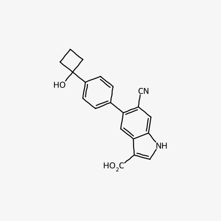 N#Cc1cc2[nH]cc(C(=O)O)c2cc1-c1ccc(C2(O)CCC2)cc1